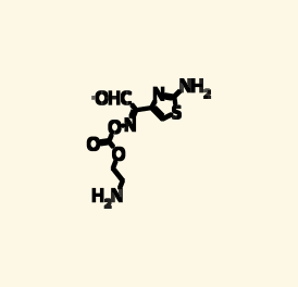 NCCOC(=O)ON=C([C]=O)c1csc(N)n1